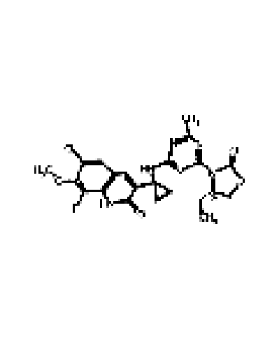 CC[C@H]1COC(=O)N1c1nc(C)nc(NC2(c3cc4cc(Cl)c(OC)c(F)c4[nH]c3=O)CC2)n1